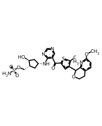 COc1ccc2c(n1)C(c1cc(C(=O)c3cncnc3N[C@@H]3C[C@H](COS(N)(=O)=O)[C@@H](O)C3)sc1C)OCC2